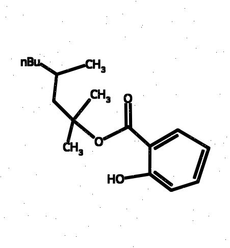 CCCCC(C)CC(C)(C)OC(=O)c1ccccc1O